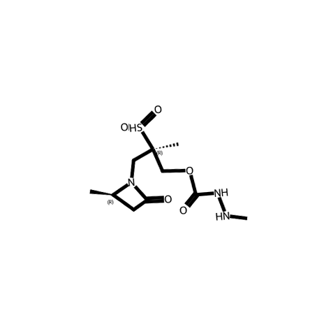 CNNC(=O)OC[C@@](C)(CN1C(=O)C[C@H]1C)[SH](=O)=O